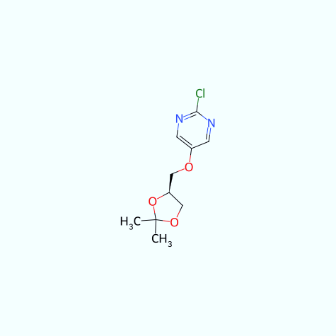 CC1(C)OC[C@H](COc2cnc(Cl)nc2)O1